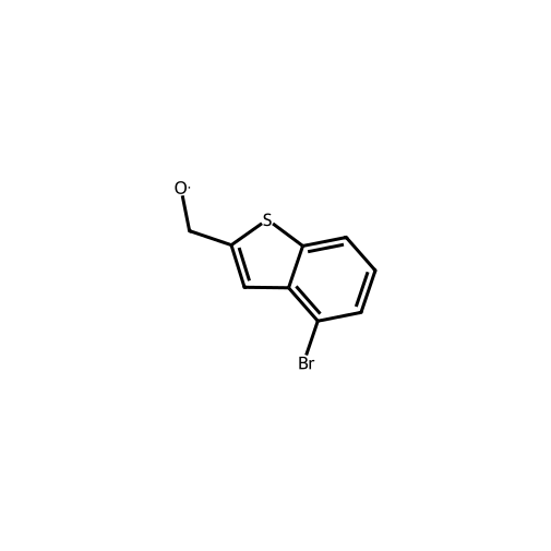 [O]Cc1cc2c(Br)cccc2s1